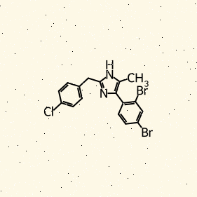 Cc1[nH]c(Cc2ccc(Cl)cc2)nc1-c1ccc(Br)cc1Br